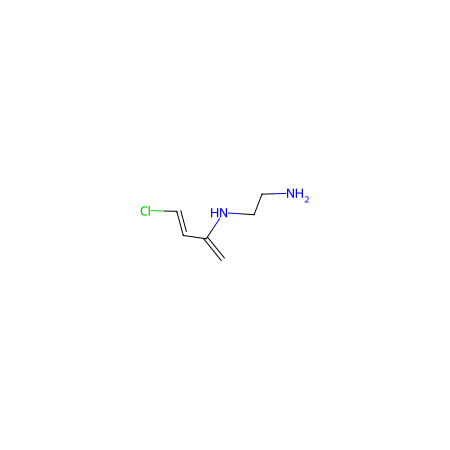 C=C(/C=C/Cl)NCCN